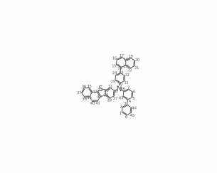 c1ccc(-c2cccc(N(c3ccc(-c4cccc5ccccc45)cc3)c3ccc4c(c3)sc3c5ccccc5ccc43)c2)cc1